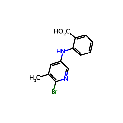 Cc1cc(Nc2ccccc2C(=O)O)cnc1Br